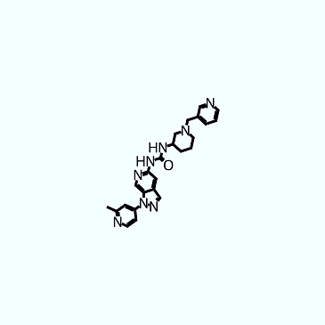 Cc1cc(-n2ncc3cc(NC(=O)NC4CCCN(Cc5cccnc5)C4)ncc32)ccn1